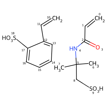 C=CC(=O)NC(C)(C)CS(=O)(=O)O.C=Cc1ccccc1S(=O)(=O)O